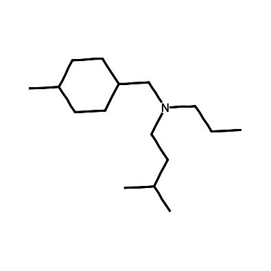 CCCN(CCC(C)C)CC1CCC(C)CC1